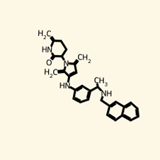 C=C1CCC(n2c(=C)cc(Nc3cccc(C(C)NCc4ccc5ccccc5c4)c3)c2=C)C(=O)N1